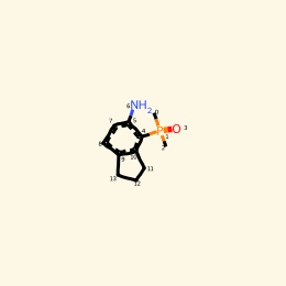 CP(C)(=O)c1c(N)ccc2c1CCC2